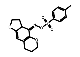 Cc1ccc(S(=O)(=O)ON=C2C3=C(C=C4OCCC42)CCCO3)cc1